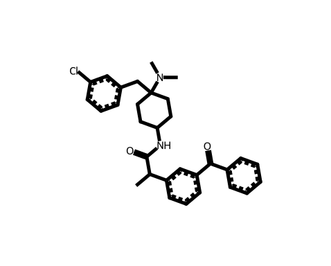 CC(C(=O)NC1CCC(Cc2cccc(Cl)c2)(N(C)C)CC1)c1cccc(C(=O)c2ccccc2)c1